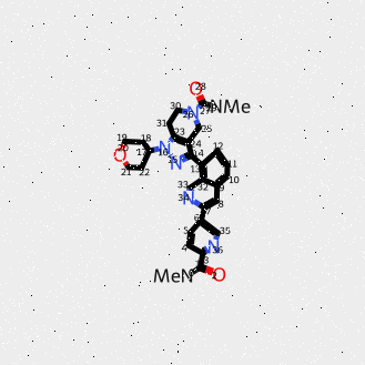 CNC(=O)c1ccc(-c2cc3cccc(-c4nn(C5CCOCC5)c5c4CN(C(=O)NC)CC5)c3cn2)cn1